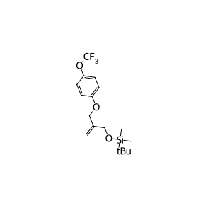 C=C(COc1ccc(OC(F)(F)F)cc1)CO[Si](C)(C)C(C)(C)C